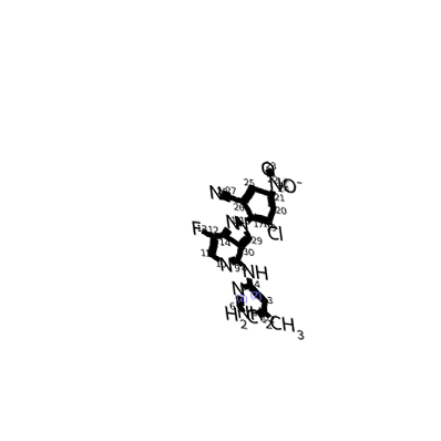 C=C(C)/C=C(\N=C/N)Nc1ncc(F)c2nn(-c3c(Cl)cc([N+](=O)[O-])cc3C#N)cc12